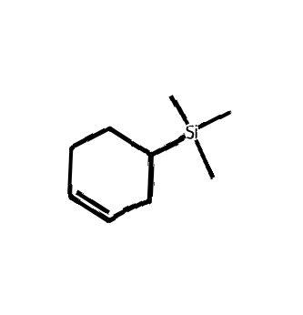 C[Si](C)(C)C1CC=CCC1